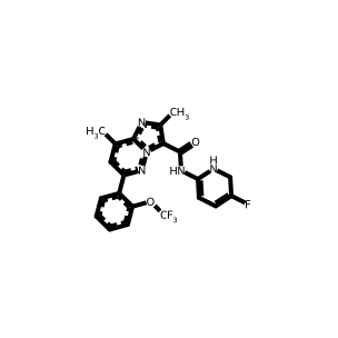 Cc1nc2c(C)cc(-c3ccccc3OC(F)(F)F)nn2c1C(=O)NC1=CC=C(F)CN1